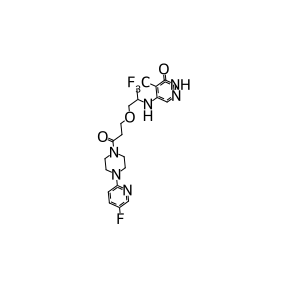 CC(COCCC(=O)N1CCN(c2ccc(F)cn2)CC1)Nc1cn[nH]c(=O)c1C(F)(F)F